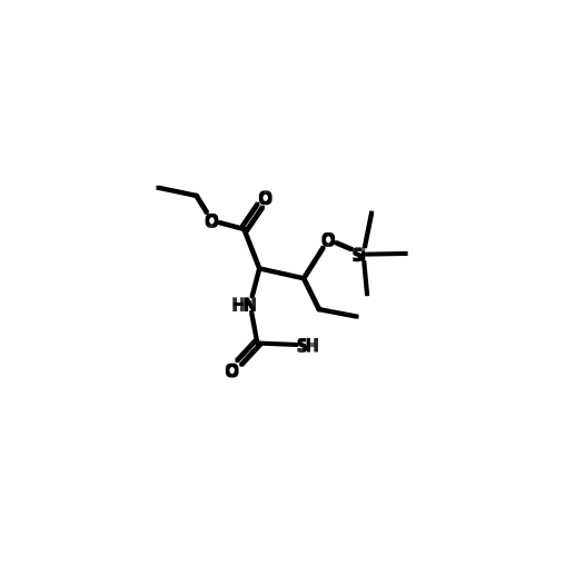 CCOC(=O)C(NC(=O)S)C(CC)O[Si](C)(C)C